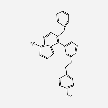 CC(=O)Oc1ccc(CCc2cccc(-c3c(Cc4ccccc4)cnc4c(C(F)(F)F)cccc34)c2)cc1